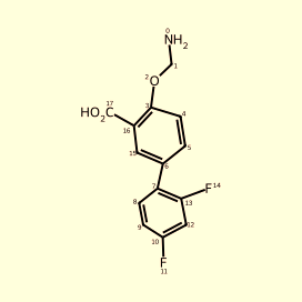 NCOc1ccc(-c2ccc(F)cc2F)cc1C(=O)O